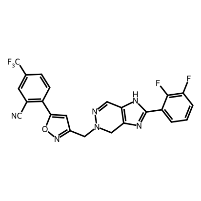 N#Cc1cc(C(F)(F)F)ccc1-c1cc(CN2Cc3nc(-c4cccc(F)c4F)[nH]c3C=N2)no1